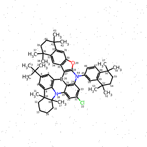 CC(C)(C)c1cc2c3c(c1)C1(C)CCCCC1(C)N3c1cc(Cl)cc3c1B2c1c(oc2cc4c(cc12)C(C)(C)CCC4(C)C)N3c1ccc2c(c1)C(C)(C)CCC2(C)C